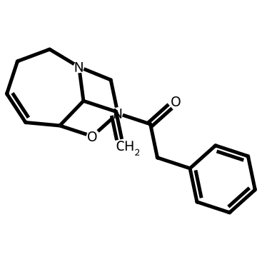 C=CC1C2C=CCCN1CN(C(=O)Cc1ccccc1)O2